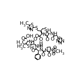 CC1(C)S[C@@H]2[C@H](NC(=O)[C@H](NC(=O)N3CCN(S(C)(=O)=O)C3=O)c3ccccc3)C(=O)N2[C@H]1C(=O)O.Cc1nnc(SCC2=C(C(=O)O)N3C(=O)[C@@H](NC(=O)Cn4cnnn4)[C@H]3SC2)s1